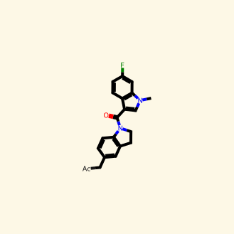 CC(=O)Cc1ccc2c(c1)CCN2C(=O)c1cn(C)c2cc(F)ccc12